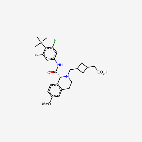 COc1ccc2c(c1)CCN(CC1CC(CC(=O)O)C1)[C@H]2C(=O)Nc1cc(F)c([Si](C)(C)C)c(F)c1